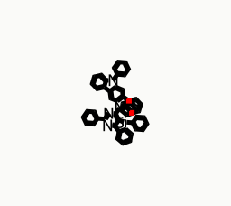 c1ccc(-c2nc3c(c(-n4c5ccccc5c5cc6c(cc54)c4ccccc4n6-c4ccccc4)n2)[Si](c2ccccc2)(c2ccccc2)c2ccccc2-3)cc1